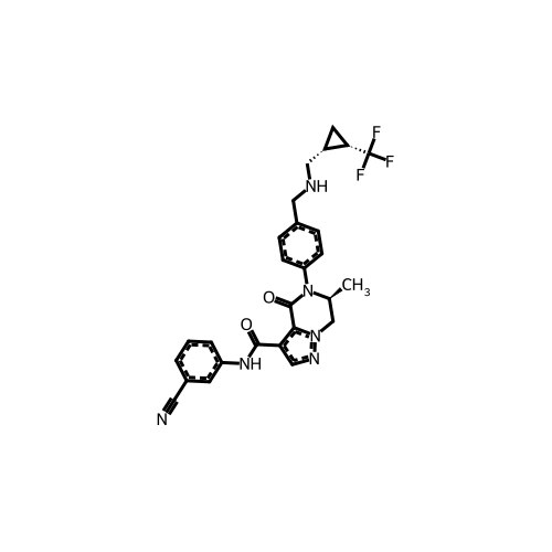 C[C@H]1Cn2ncc(C(=O)Nc3cccc(C#N)c3)c2C(=O)N1c1ccc(CNC[C@@H]2C[C@@H]2C(F)(F)F)cc1